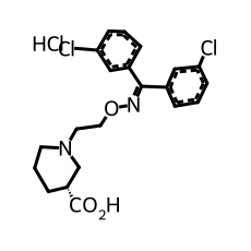 Cl.O=C(O)[C@@H]1CCCN(CCON=C(c2cccc(Cl)c2)c2cccc(Cl)c2)C1